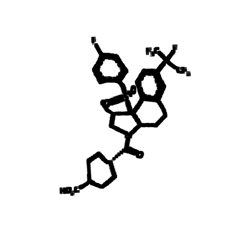 C[C@@H]1CN(C(=O)[C@H]2CC[C@H](C(=O)O)CC2)C2CCc3cc(C(F)(C(F)(F)F)C(F)(F)F)ccc3C21S(=O)(=O)c1ccc(F)cc1